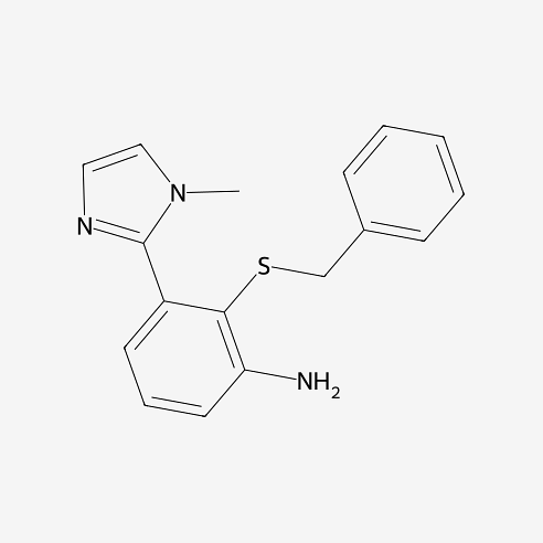 Cn1ccnc1-c1cccc(N)c1SCc1ccccc1